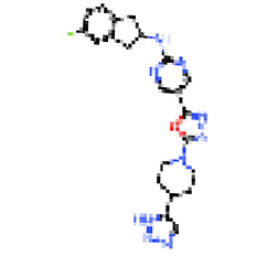 Fc1ccc2c(c1)CC(Nc1ncc(-c3nnc(N4CCC(c5cnn[nH]5)CC4)o3)cn1)C2